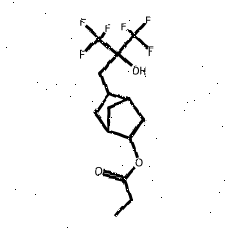 CCC(=O)OC1CC2CC1CC2CC(O)(C(F)(F)F)C(F)(F)F